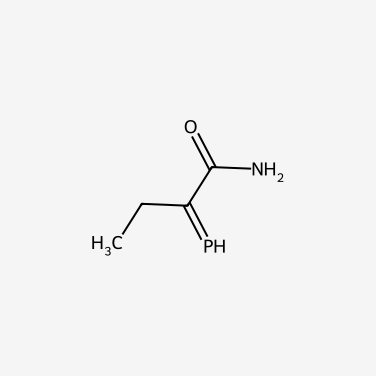 CCC(=P)C(N)=O